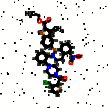 CCOC(=O)c1sc2ccc(SN(CCc3ccccc3[N+](=O)[O-])c3ccccc3N3CCN(C(=O)c4sccc4Br)CC3)cc2c1C